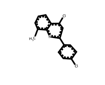 Cc1cccc2c(Cl)cc(-c3ccc(Cl)cc3)nc12